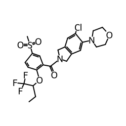 CCC(Oc1ccc(S(C)(=O)=O)cc1C(=O)N1Cc2cc(Cl)c(N3CCOCC3)cc2C1)C(F)(F)F